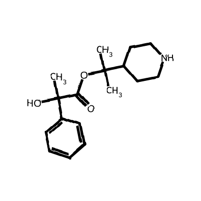 CC(O)(C(=O)OC(C)(C)C1CCNCC1)c1ccccc1